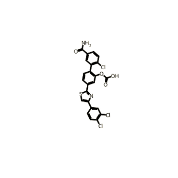 NC(=O)c1ccc(Cl)c(-c2ccc(-c3nc(-c4ccc(Cl)c(Cl)c4)cs3)cc2OC(=O)O)c1